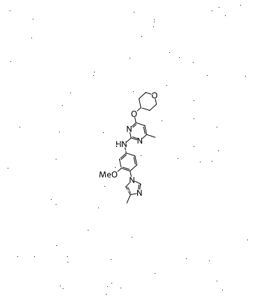 COc1cc(Nc2nc(C)cc(OC3CCOCC3)n2)ccc1-n1cnc(C)c1